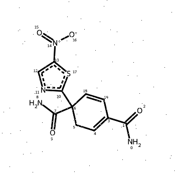 NC(=O)C1=CCC(C(N)=O)(c2ncc([N+](=O)[O-])s2)C=C1